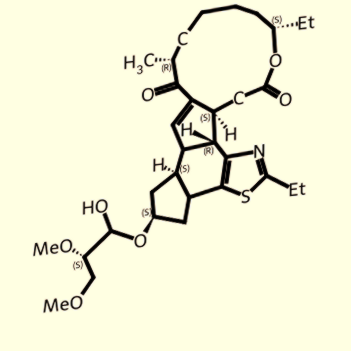 CCc1nc2c(s1)C1C[C@@H](OC(O)[C@H](COC)OC)C[C@H]1C1C=C3C(=O)[C@H](C)CCCC[C@H](CC)OC(=O)C[C@H]3[C@H]21